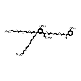 COCCOCCOCCOCCN(CCOCCOCCOCCOC)c1cc(OC)cc(C(COC)OCCOCCOCCNc2cccc(OC)c2)c1